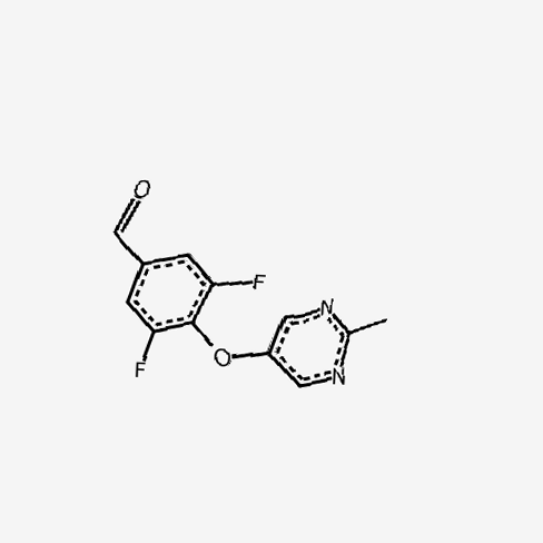 Cc1ncc(Oc2c(F)cc(C=O)cc2F)cn1